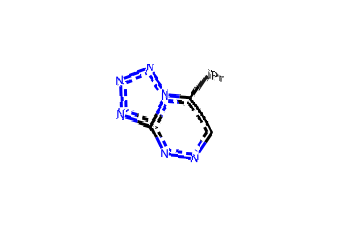 CC(C)c1cnnc2nnnn12